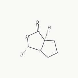 C[C@@H]1OC(=O)[C@H]2CCCN12